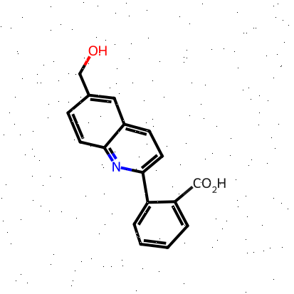 O=C(O)c1ccccc1-c1ccc2cc(CO)ccc2n1